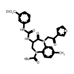 CCOC(=O)c1cccc(NC(=O)NC2CN(C(=O)C(C)(C)C)c3ccc(C)cc3N(CC(=O)c3ccsc3)C2=O)c1